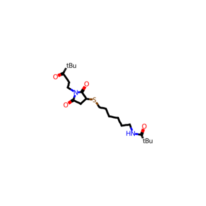 CC(C)(C)C(=O)CCN1C(=O)CC(SCCCCCCNC(=O)C(C)(C)C)C1=O